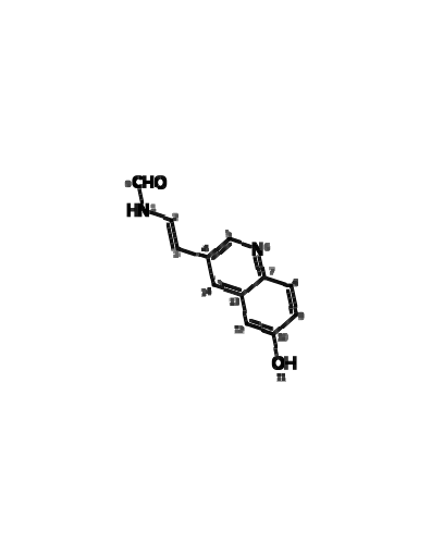 O=CNC=Cc1cnc2ccc(O)cc2c1